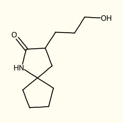 O=C1NC2(CCCC2)CC1CCCO